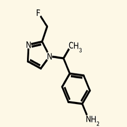 CC(c1ccc(N)cc1)n1ccnc1CF